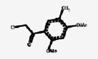 COc1cc(OC)c(C(=O)CCl)cc1C